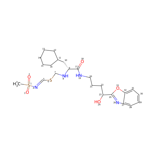 CS(=O)(=O)N=CSCN[C@H](CC1CCCCC1)C(=O)NCCCC(O)c1nc2ccccc2o1